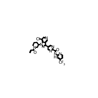 C=CC(=O)N1CCCC(n2nc(-c3cnc(C(=O)Nc4cc(C(F)(F)F)ccn4)nc3)c3cncc(Cl)c32)C1